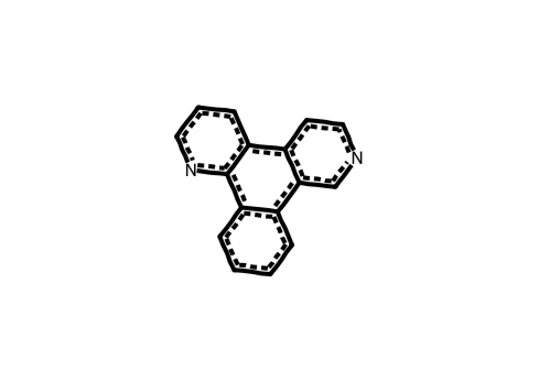 c1ccc2c(c1)c1cnccc1c1cccnc21